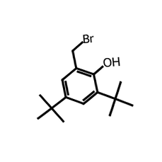 CC(C)(C)c1cc(CBr)c(O)c(C(C)(C)C)c1